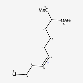 COC(CCC/C=C\CCCl)OC